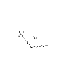 CCCCCCCC/C=C\CCCCCCCC(=O)O.CO